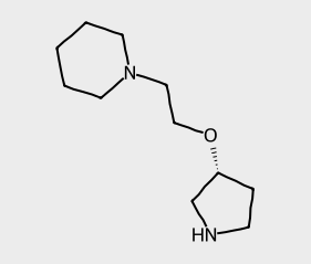 C1CCN(CCO[C@@H]2CCNC2)CC1